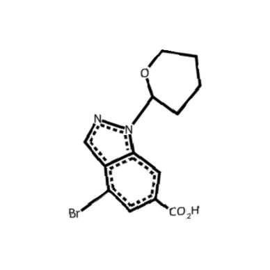 O=C(O)c1cc(Br)c2cnn(C3CCCCO3)c2c1